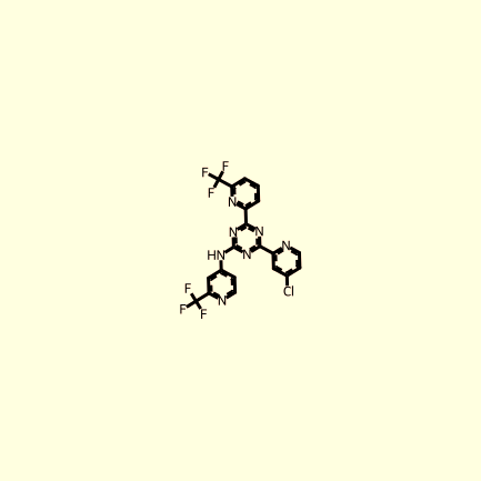 FC(F)(F)c1cc(Nc2nc(-c3cc(Cl)ccn3)nc(-c3cccc(C(F)(F)F)n3)n2)ccn1